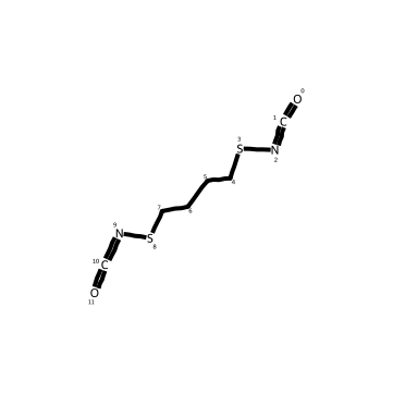 O=C=NSCCCCSN=C=O